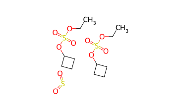 CCOS(=O)(=O)OC1CCC1.CCOS(=O)(=O)OC1CCC1.O=S=O